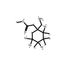 [2H]C1([2H])CC(CN)(CC(=O)OC)C([2H])(C)C(C)(C)C1([2H])C